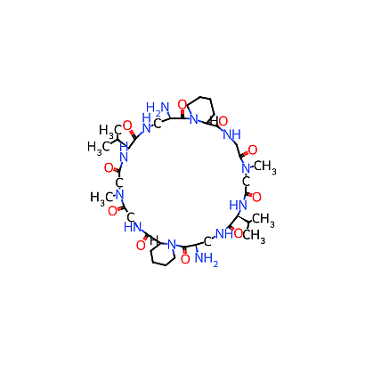 CC(C)[C@@H]1NC(=O)CN(C)C(=O)CNC(=O)[C@@H]2CCCCN2C(=O)[C@H](N)CNC(=O)[C@H](C(C)C)NC(=O)CN(C)C(=O)CNC(=O)[C@@H]2CCCCN2C(=O)[C@H](N)CNC1=O